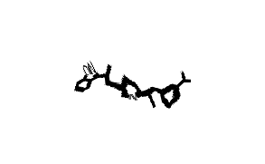 CC(C)c1cccc(CC(C)c2ccc(CC(C)c3noc4ccccc34)cn2)c1